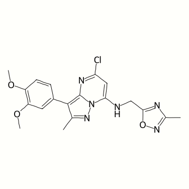 COc1ccc(-c2c(C)nn3c(NCc4nc(C)no4)cc(Cl)nc23)cc1OC